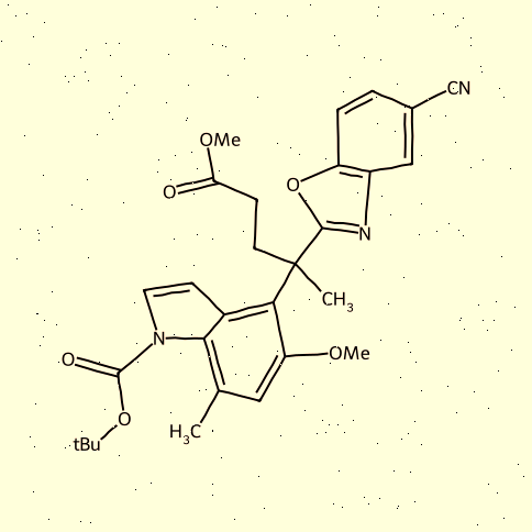 COC(=O)CCC(C)(c1nc2cc(C#N)ccc2o1)c1c(OC)cc(C)c2c1ccn2C(=O)OC(C)(C)C